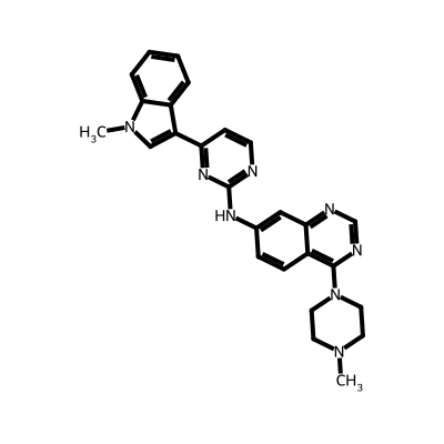 CN1CCN(c2ncnc3cc(Nc4nccc(-c5cn(C)c6ccccc56)n4)ccc23)CC1